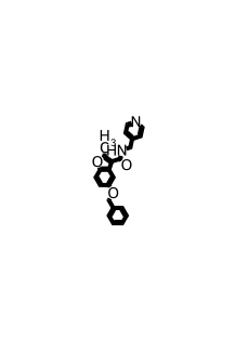 Cc1oc2ccc(OCc3ccccc3)cc2c1C(=O)NCc1ccncc1